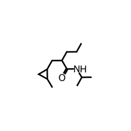 CCCC(CC1CC1C)C(=O)NC(C)C